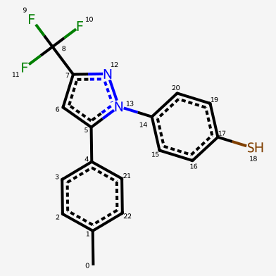 Cc1ccc(-c2cc(C(F)(F)F)nn2-c2ccc(S)cc2)cc1